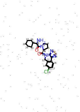 N[C@@H](C(=O)N1CCC[C@H]1C(=O)NCc1cc(Cl)ccc1-c1cnsn1)C1CCCCC1